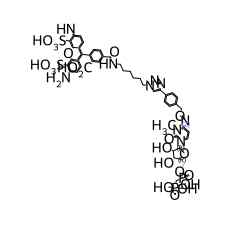 Cn1c(=O)n([C@@H]2O[C@H](COP(=O)(O)CP(=O)(O)O)C(O)C2O)cc/c1=N/OCc1ccc(-c2cn(CCCCCCNC(=O)c3ccc(-c4c5ccc(=N)c(S(=O)(=O)O)c-5oc5c(S(=O)(=O)O)c(N)ccc45)c(C(=O)O)c3)nn2)cc1